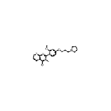 COc1cc(OCCCN2CCCC2)ccc1-c1nc2ncccc2c(=O)n1C